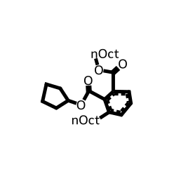 CCCCCCCCOC(=O)c1cccc(CCCCCCCC)c1C(=O)OC1CCCC1